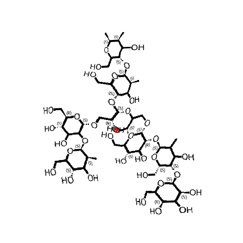 CC1C(O)[C@H](O[C@@H]2OC(CO)[C@H](O)C(O)[C@@H]2O)[C@H](CO)O[C@H]1O[C@@H]1C(O)[C@H](O)C(CO)O[C@@H]1OCC(O[C@@H](O[C@@H]1C(CO)O[C@@H](O[C@@H]2C(CO)O[C@@H](C)[C@@H](C)C2O)[C@@H](C)C1O)[C@H](O)CO[C@H]1O[C@H](CO)[C@@H](O)C(O)C1O[C@@H]1OC(CO)[C@@H](O)C(O)[C@@H]1C)[C@H](C)O